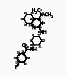 CN(C)c1nc(N[C@H]2CC[C@@H](NC(=O)c3ccc(F)cc3)CC2)nc2c1CCCC2